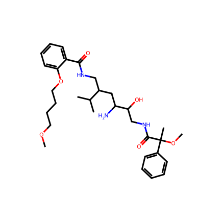 COCCCCOc1ccccc1C(=O)NCC(CC(N)C(O)CNC(=O)C(C)(OC)c1ccccc1)C(C)C